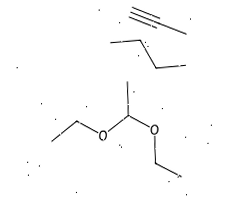 C#CC.CCCC.CCOC(C)OCC